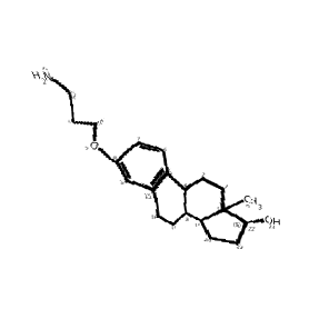 CC12CCC3c4ccc(OCCCN)cc4CCC3C1CC[C@@H]2O